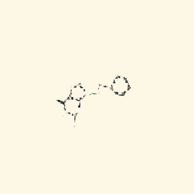 Nc1nc2c(ncn2NCc2ccccc2)c(=O)[nH]1